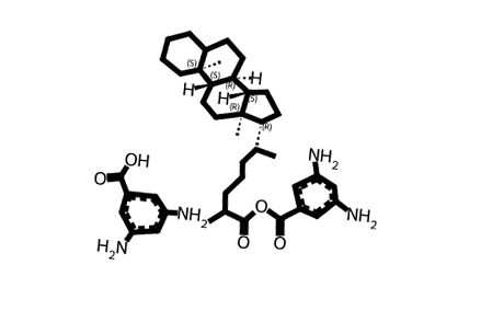 CC(CCCC(C)[C@H]1CC[C@H]2[C@@H]3CCC4CCCC[C@]4(C)[C@H]3CC[C@]12C)C(=O)OC(=O)c1cc(N)cc(N)c1.Nc1cc(N)cc(C(=O)O)c1